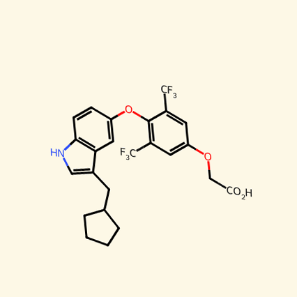 O=C(O)COc1cc(C(F)(F)F)c(Oc2ccc3[nH]cc(CC4CCCC4)c3c2)c(C(F)(F)F)c1